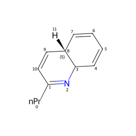 CCCC1=NC2C=CC=C[C@H]2C=C1